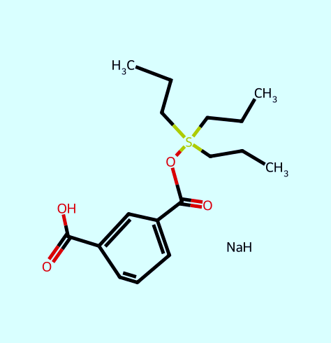 CCCS(CCC)(CCC)OC(=O)c1cccc(C(=O)O)c1.[NaH]